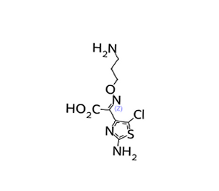 NCCCO/N=C(\C(=O)O)c1nc(N)sc1Cl